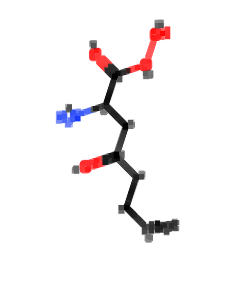 CCCCCCCCCC(=O)CC(N)C(=O)OO